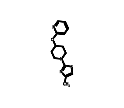 Cc1csc(N2CCC(Oc3ccccn3)CC2)n1